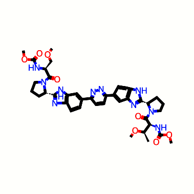 COC[C@H](NC(=O)OC)C(=O)N1CCC[C@H]1c1nc2ccc(-c3ccc(-c4ccc5[nH]c([C@@H]6CCCN6C(=O)[C@@H](NC(=O)OC)[C@@H](C)OC)nc5c4)nn3)cc2[nH]1